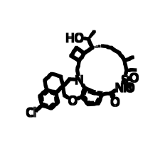 CC1CCC[C@@H]([C@H](C)O)C2CCC2CN2CC3(CCCc4cc(Cl)ccc43)COc3ccc(cc32)C(=O)NS(=O)(=O)C1C